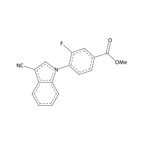 COC(=O)c1ccc(-n2cc(C#N)c3ccccc32)c(F)c1